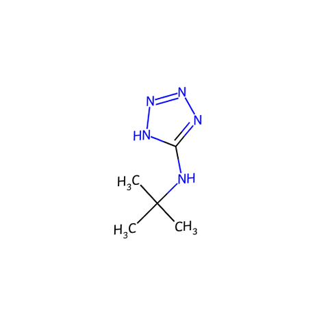 CC(C)(C)Nc1nnn[nH]1